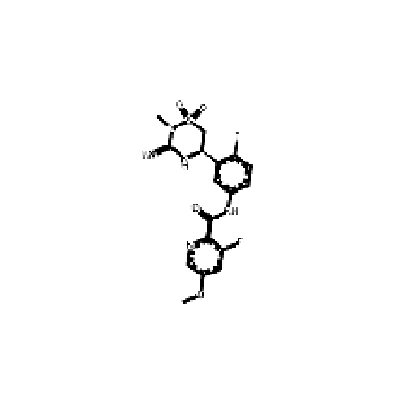 COc1cnc(C(=O)Nc2ccc(F)c([C@@H]3CS(=O)(=O)N(C)C(=N)N3)c2)c(F)c1